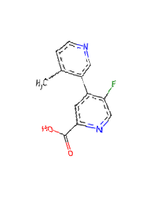 Cc1ccncc1-c1cc(C(=O)O)ncc1F